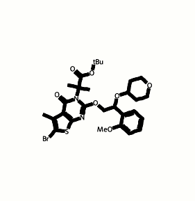 COc1ccccc1C(COc1nc2sc(Br)c(C)c2c(=O)n1C(C)(C)C(=O)OC(C)(C)C)OC1CCOCC1